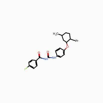 CC1CCC(C(C)C)C(Oc2ccc(NC(=O)NC(=O)c3ccc(F)cc3)cc2)C1